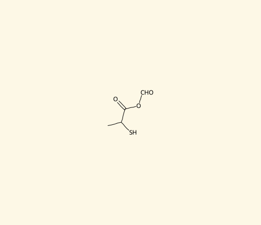 CC(S)C(=O)OC=O